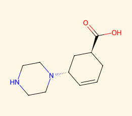 O=C(O)[C@H]1CC=C[C@H](N2CCNCC2)C1